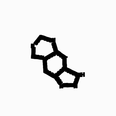 [c]1c2ncncc2cc2nn[nH]c12